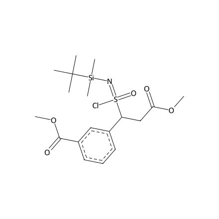 COC(=O)CC(c1cccc(C(=O)OC)c1)S(=O)(Cl)=N[Si](C)(C)C(C)(C)C